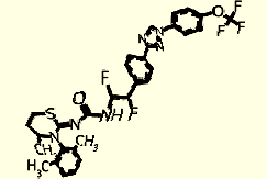 Cc1cccc(C)c1N1/C(=N/C(=O)NC(F)C(F)c2ccc(-c3ncn(-c4ccc(OC(F)(F)F)cc4)n3)cc2)SCCC1C